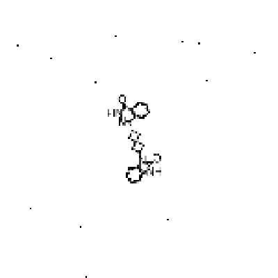 O=c1[nH]nc([C@H]2CC3(C2)C[C@H](n2c(=O)[nH]c4ccccc42)C3)c2ccccc12